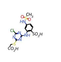 CS(=O)(=O)Nc1ccc(S(=O)(=O)O)c(Nc2nc(Cl)nc(SCC(=O)O)n2)c1